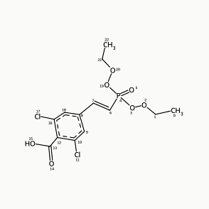 CCOOP(=O)(/C=C/c1cc(Cl)c(C(=O)O)c(Cl)c1)OOCC